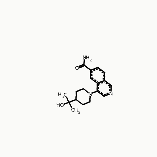 CC(C)(O)C1CCN(c2cncc3ccc(C(N)=O)cc23)CC1